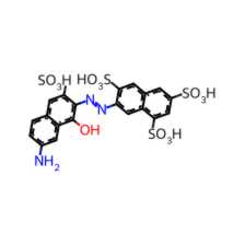 Nc1ccc2cc(S(=O)(=O)O)c(N=Nc3cc4c(S(=O)(=O)O)cc(S(=O)(=O)O)cc4cc3S(=O)(=O)O)c(O)c2c1